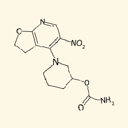 NC(=O)OC1CCCN(c2c([N+](=O)[O-])cnc3c2CCO3)C1